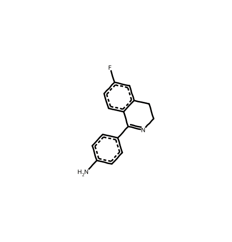 Nc1ccc(C2=NCCc3cc(F)ccc32)cc1